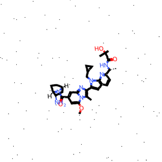 COc1cc(C(=O)N2[C@H]3CC[C@@H]2[C@H](N)C3)cc2nc(-c3cc4ccc([C@@H](C)NC(=O)C(C)(C)O)nc4n3CC3CC3)c(C)n12